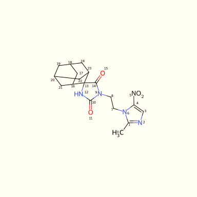 Cc1ncc([N+](=O)[O-])n1CCN1C(=O)NC2(C1=O)C1CC3CC(C1)CC2C3